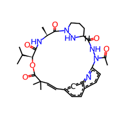 CC(=O)N1NC(=O)[C@@H]2CCCN(N2)C(=O)[C@H](C)NC(=O)[C@H](C(C)C)OC(=O)C(C)(C)/C=C/c2ccc3ccc1nc3c2